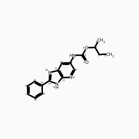 CCC(C)OC(=O)Nc1cnc2[nH]c(-c3ccccc3)nc2c1